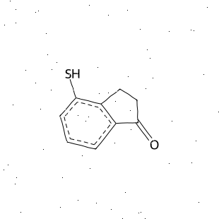 O=C1CCc2c(S)cccc21